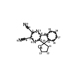 N#Cc1nc2c(nc1C#N)C1(CCCO1)c1ccccc1-2